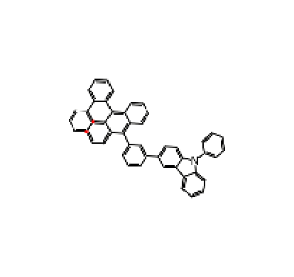 c1ccc(-c2ccccc2-c2c3ccccc3c(-c3cccc(-c4ccc5c(c4)c4ccccc4n5-c4ccccc4)c3)c3ccccc23)cc1